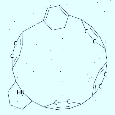 C1=CC2CCC1C1=CC=C(CC1)C1=CC=C(CC1)C1CCCC(N1)C1C=CC(CC1)C1=CC=C2CC1